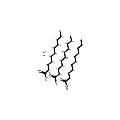 CCCCCCCCCCC(=O)[O-].CCCCCCCCCCC(=O)[O-].CCCCCCCCCCC(=O)[O-].[Y+3]